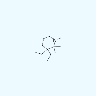 CCC1(CC)CCCN(C)C1(C)C